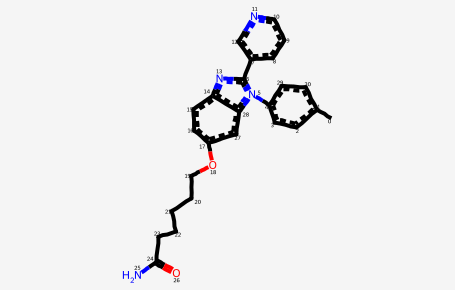 Cc1ccc(-n2c(-c3cccnc3)nc3ccc(OCCCCCC(N)=O)cc32)cc1